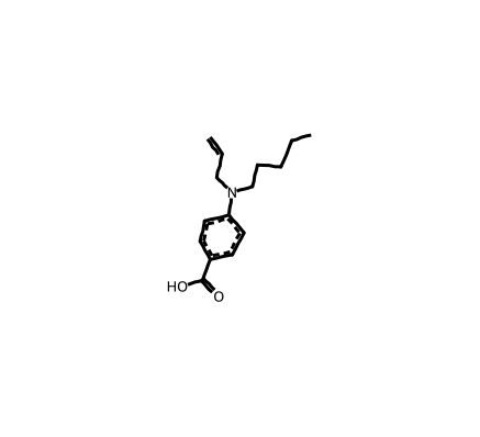 C=CCN(CCCCC)c1ccc(C(=O)O)cc1